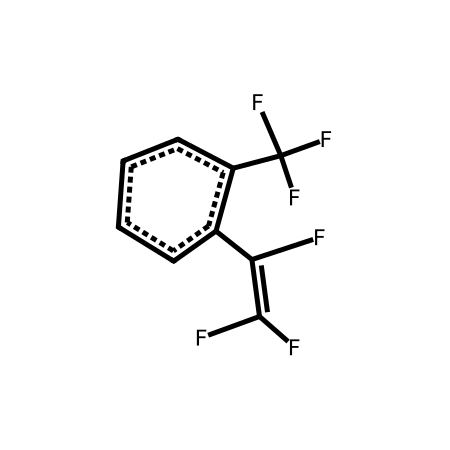 FC(F)=C(F)c1ccccc1C(F)(F)F